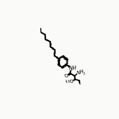 CCCCCCCCc1ccc(NC(=O)C(N)C(O)CC)cc1